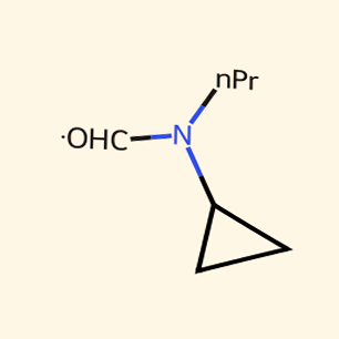 CCCN([C]=O)C1CC1